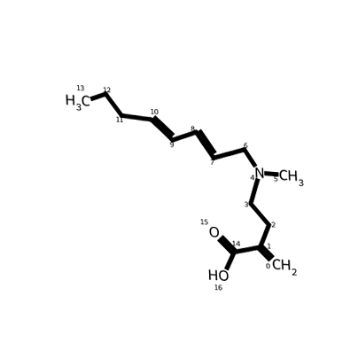 C=C(CCN(C)C/C=C/C=C/CCC)C(=O)O